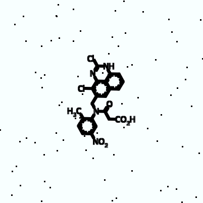 Cc1ccc([N+](=O)[O-])cc1N(Cc1cc2cccc3c2c(c1Cl)N=C(Cl)N3)C(=O)CC(=O)O